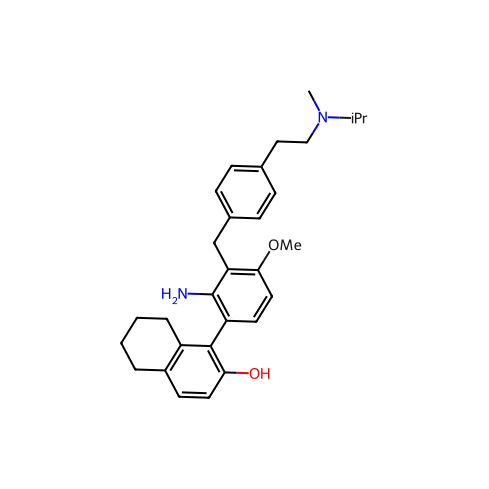 COc1ccc(-c2c(O)ccc3c2CCCC3)c(N)c1Cc1ccc(CCN(C)C(C)C)cc1